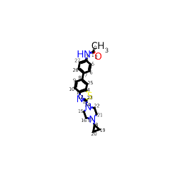 CC(=O)Nc1ccc(-c2ccc3nc(N4CCN(C5CC5)CC4)sc3c2)cc1